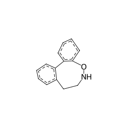 c1ccc2c(c1)CCNOc1ccccc1-2